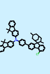 CC1CC2CC(C)C3(c4cc(-c5ccc(N(c6ccc7c(c6)C(C)(C)c6ccccc6-7)c6ccc7c(c6)C(C)(C)c6ccccc6-7)cc5)ccc4-c4c(Cl)cccc43)C(C1)C2